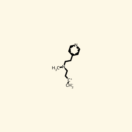 [CH2-][CH+]CCN(C)CCc1ccncc1